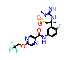 CN1C(=N)N[C@](C)(c2cc(NC(=O)c3cnc(OCC(F)(F)F)cn3)ccc2F)CS1(=O)=O